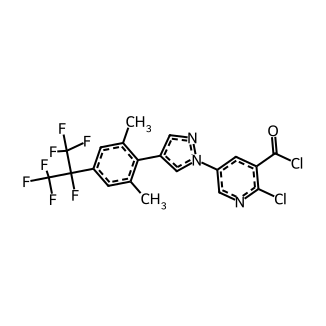 Cc1cc(C(F)(C(F)(F)F)C(F)(F)F)cc(C)c1-c1cnn(-c2cnc(Cl)c(C(=O)Cl)c2)c1